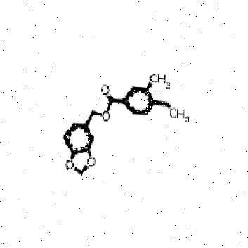 CCc1ccc(C(=O)OCc2ccc3c(c2)OCO3)cc1C